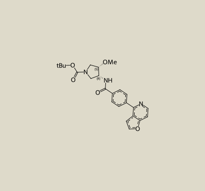 CO[C@H]1CN(C(=O)OC(C)(C)C)C[C@H]1NC(=O)c1ccc(-c2nccc3occc23)cc1